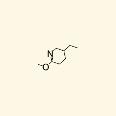 CCC1CCC(OC)=NC1